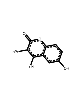 CCCc1c(CCC)c2cc(O)ccc2oc1=O